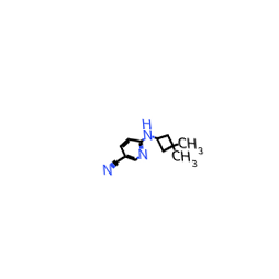 CC1(C)CC(Nc2ccc(C#N)cn2)C1